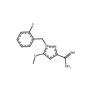 COc1cc(C(=N)N)nn1Cc1ccccc1F